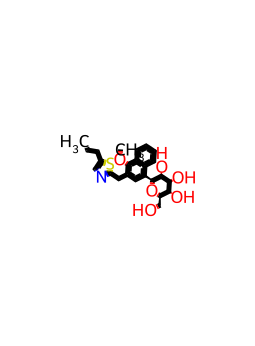 CCCc1cnc(Cc2cc([C@@H]3O[C@H](CO)[C@@H](O)[C@H](O)[C@H]3O)c3ccccc3c2OC)s1